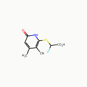 Cc1cc(=O)[nH]c(SC(F)C(=O)O)c1C#N